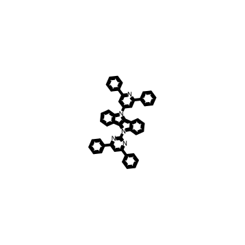 c1ccc(-c2cc(-n3c4ccccc4c4c3c3ccccc3n4-c3nc(-c4ccccc4)cc(-c4ccccc4)n3)cc(-c3ccccc3)n2)cc1